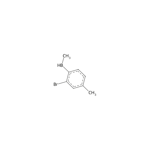 CBc1ccc(C)cc1Br